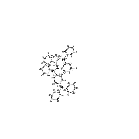 Cc1cc2c3c(c1)N(c1ccccc1)c1sc4ccccc4c1B3N(c1ccccc1)c1ccc(N(c3ccccc3)c3ccccc3)cc1-2